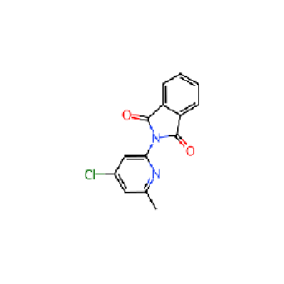 Cc1cc(Cl)cc(N2C(=O)c3ccccc3C2=O)n1